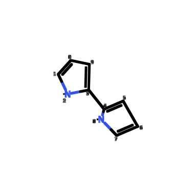 C1=C[N]C(C2=CC=C[N]2)=C1